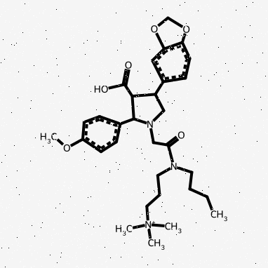 CCCCN(CCC[N+](C)(C)C)C(=O)CN1CC(c2ccc3c(c2)OCO3)C(C(=O)O)C1c1ccc(OC)cc1